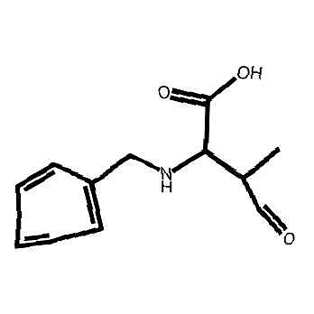 CC(C=O)C(NCc1ccccc1)C(=O)O